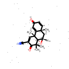 CC1(C)C(=O)C(C#N)=C[C@]2(C)C3=CC(=O)C=C[C@]3(C)C[C@@H]3O[C@]312